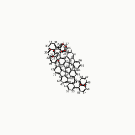 c1ccc(-c2ccc3c(c2)C2(C4=C(c5ccc(N(c6ccccc6)c6ccccc6-c6ccccc6)cc52)C2(c5cc(N(c6ccccc6)c6ccccc6-c6ccccc6)ccc54)c4ccccc4-c4ccc(-c5ccccc5)cc42)c2ccccc2-3)cc1